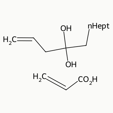 C=CC(=O)O.C=CCC(O)(O)CCCCCCCC